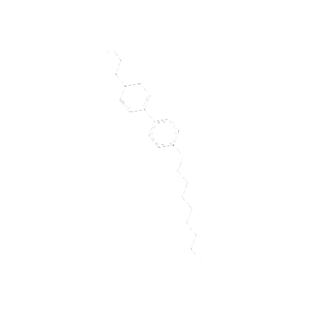 CCCCCCCCOc1ccc(C2=CCC(CCC)C=C2)cc1